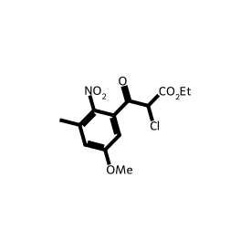 CCOC(=O)C(Cl)C(=O)c1cc(OC)cc(C)c1[N+](=O)[O-]